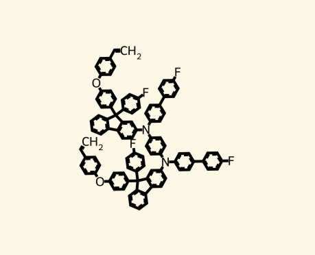 C=Cc1ccc(Oc2ccc(C3(c4ccc(F)cc4)c4ccccc4-c4ccc(N(c5ccc(-c6ccc(F)cc6)cc5)c5ccc(N(c6ccc(-c7ccc(F)cc7)cc6)c6ccc7c(c6)C(c6ccc(F)cc6)(c6ccc(Oc8ccc(C=C)cc8)cc6)c6ccccc6-7)cc5)cc43)cc2)cc1